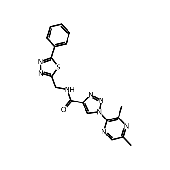 Cc1cnc(-n2cc(C(=O)NCc3nnc(-c4ccccc4)s3)nn2)c(C)n1